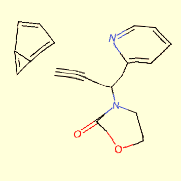 C#CC(c1ccccn1)N1CCOC1=O.c1cc2cc-2c1